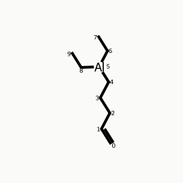 C=CCC[CH2][Al]([CH2]C)[CH2]C